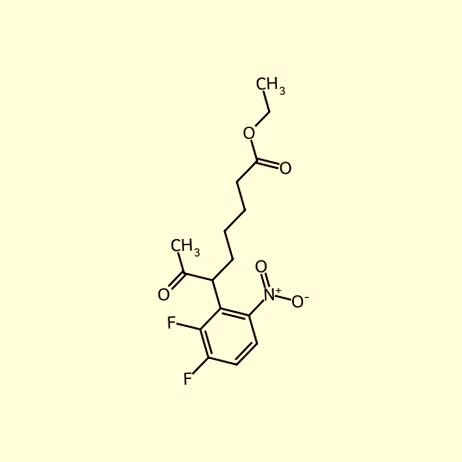 CCOC(=O)CCCCC(C(C)=O)c1c([N+](=O)[O-])ccc(F)c1F